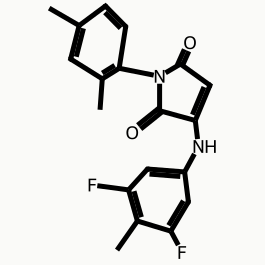 Cc1ccc(N2C(=O)C=C(Nc3cc(F)c(C)c(F)c3)C2=O)c(C)c1